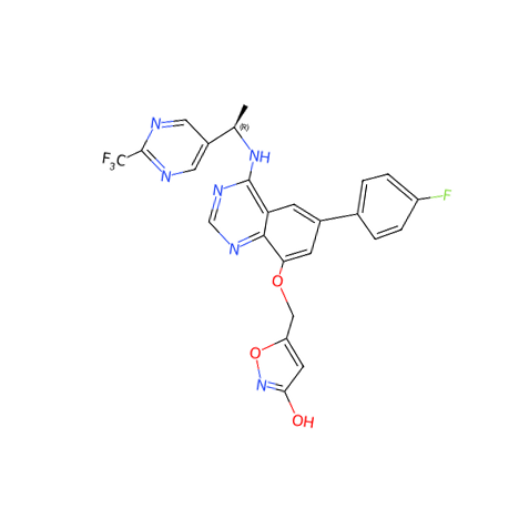 C[C@@H](Nc1ncnc2c(OCc3cc(O)no3)cc(-c3ccc(F)cc3)cc12)c1cnc(C(F)(F)F)nc1